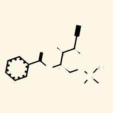 C#C[C@@H](O)[C@H](O)[C@@H](CO[Si](C(C)C)(C(C)C)C(C)C)OC(=O)c1ccccc1